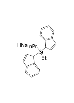 CCC[Si](CC)(C1C=Cc2ccccc21)C1C=Cc2ccccc21.[NaH]